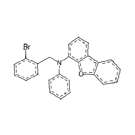 Brc1ccccc1CN(c1ccccc1)c1cccc2c1oc1ccccc12